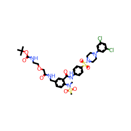 CN(c1ccc(CNC(=O)COCCNC(=O)OC(C)(C)C)cc1C(=O)Nc1ccc(S(=O)(=O)N2CCN(c3cc(Cl)cc(Cl)c3)CC2)cc1)S(C)(=O)=O